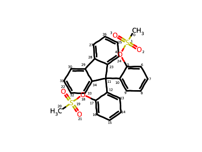 CS(=O)(=O)Oc1ccccc1C1(c2ccccc2OS(C)(=O)=O)c2ccccc2-c2ccccc21